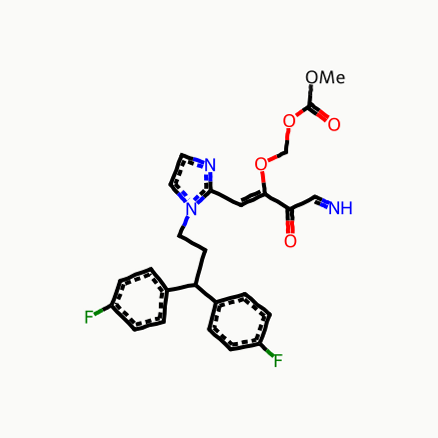 COC(=O)OCO/C(=C\c1nccn1CCC(c1ccc(F)cc1)c1ccc(F)cc1)C(=O)C=N